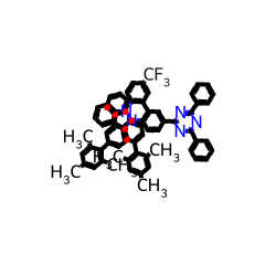 Cc1cc(C)c(-c2ccc3c(c2)c2ccccc2n3-c2ccc(-c3nc(-c4ccccc4)nc(-c4ccccc4)n3)cc2-c2cc(C(F)(F)F)ccc2-n2c3ccccc3c3cc(-c4c(C)cc(C)cc4C)ccc32)c(C)c1